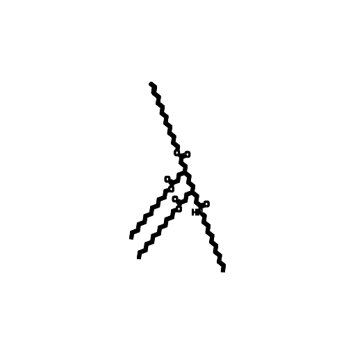 C/C=C/CCCCCCCCCCCOC(=O)CCC(CCCC(CCC(=O)NCCCCCCCCCCCC)CCC(=O)OCCCCCCCCCCCC)CCC(=O)OCCCCCCCCCCCC